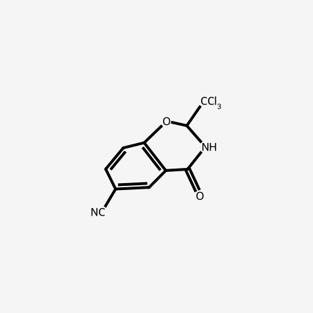 N#Cc1ccc2c(c1)C(=O)NC(C(Cl)(Cl)Cl)O2